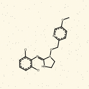 COc1ccc(CON2CCN/C2=N\c2c(Cl)cccc2Cl)nc1